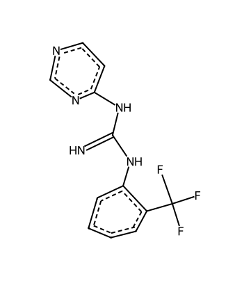 N=C(Nc1ccncn1)Nc1ccccc1C(F)(F)F